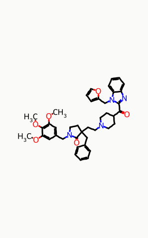 COc1cc(CN2CCC(CCN3CCC(C(=O)c4nc5ccccc5n4Cc4ccco4)CC3)(Cc3ccccc3)C2=O)cc(OC)c1OC